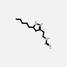 CCCCCC1CC(CCOC=O)=NO1